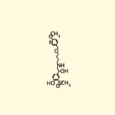 COc1ccc(COCCCCNCC(O)c2ccc(O)c([S+](C)[O-])c2)cn1